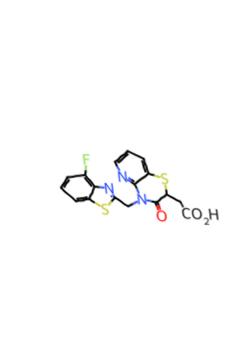 O=C(O)CC1Sc2cccnc2N(Cc2nc3c(F)cccc3s2)C1=O